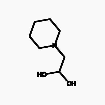 OC(O)CN1CCCCC1